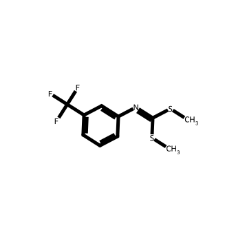 CSC(=Nc1cccc(C(F)(F)F)c1)SC